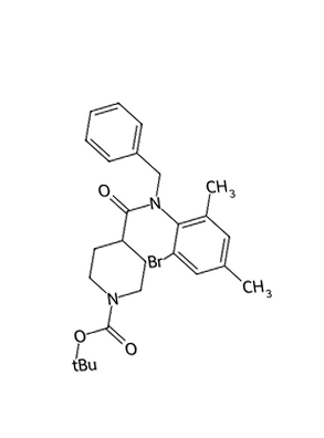 Cc1cc(C)c(N(Cc2ccccc2)C(=O)C2CCN(C(=O)OC(C)(C)C)CC2)c(Br)c1